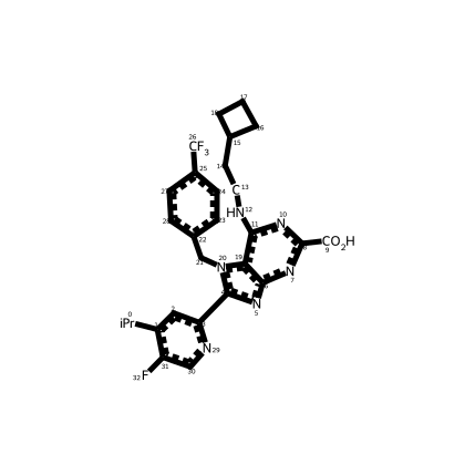 CC(C)c1cc(-c2nc3nc(C(=O)O)nc(NCCC4CCC4)c3n2Cc2ccc(C(F)(F)F)cc2)ncc1F